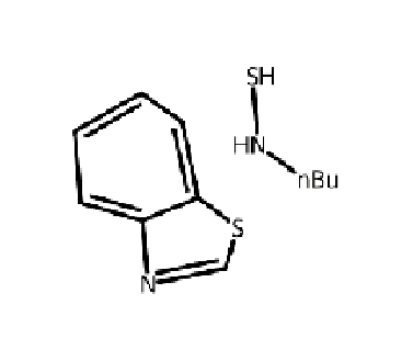 CCCCNS.c1ccc2scnc2c1